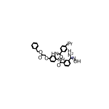 CC(C)c1ccc(C(=O)Nc2cc(OCC(=O)OCc3ccccc3)ccc2NC(=O)c2cccc(/C(N)=N\O)c2)cc1